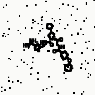 N=C(N)c1csc(CNC(=O)[C@@H]2C[C@@H](C3CCCC3)CN2C(=O)CNC(=O)c2ccc(Oc3ccccc3)cc2)c1